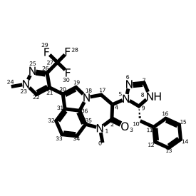 CN1C(=O)C(N2N=CN[C@@H]2Cc2ccccc2)Cn2cc(-c3cn(C)nc3C(F)(F)F)c3cccc1c32